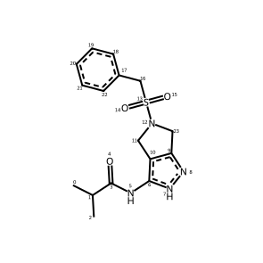 CC(C)C(=O)Nc1[nH]nc2c1CN(S(=O)(=O)Cc1ccccc1)C2